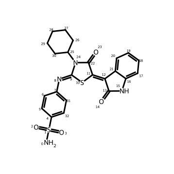 NS(=O)(=O)c1ccc(/N=C2\S/C(=C3\C(=O)Nc4ccccc43)C(=O)N2C2CCCCC2)cc1